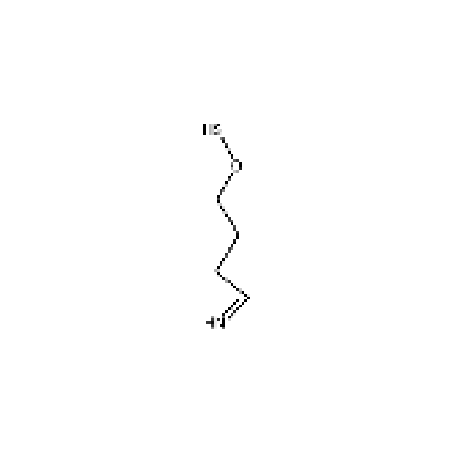 N=CCCCOS